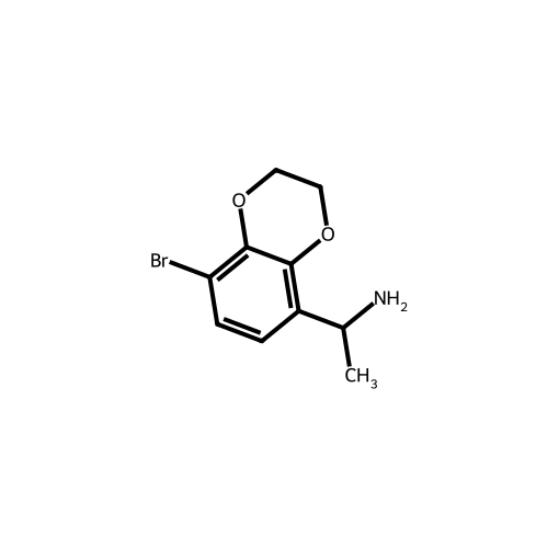 CC(N)c1ccc(Br)c2c1OCCO2